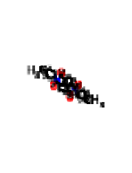 CC1CCC(N2C(=O)c3ccc4c5c(ccc(c35)C2=O)C(=O)N([C@H]2CC[C@H](C)CC2)C4=O)CC1